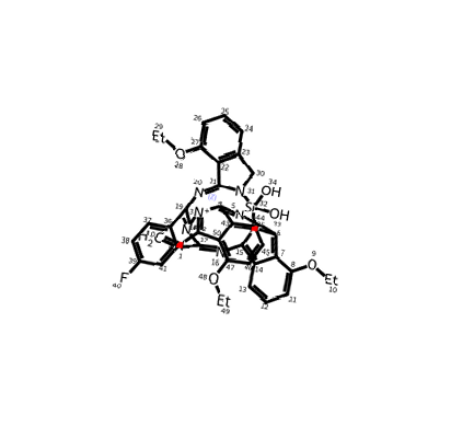 C=NC1=[n+]2c(nc3c4c(OCC)cccc4c4nc5[n+]2=C(/N=C2/c6c(cccc6OCC)CN2[Si](O)(O)n43)c2ccc(F)cc2-5)-c2cccc(OCC)c21